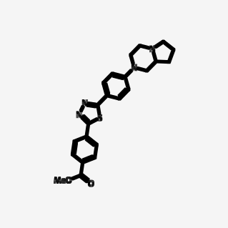 COC(=O)c1ccc(-c2nnc(-c3ccc(N4CCN5CCCC5C4)cc3)s2)cc1